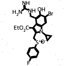 CCOC(=O)c1c(C[S+]([O-])c2ccc(F)cc2)n(C2CC2)c2cc(Br)c(O)c(CNC(=N)N)c12